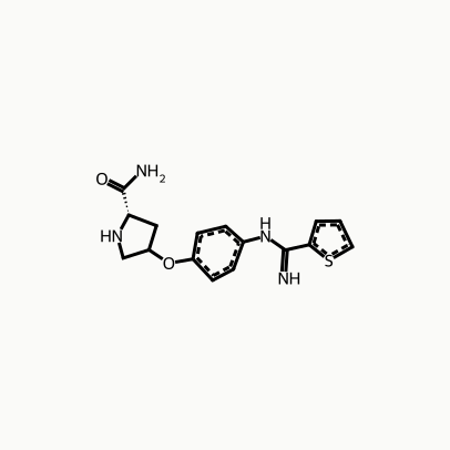 N=C(Nc1ccc(OC2CN[C@H](C(N)=O)C2)cc1)c1cccs1